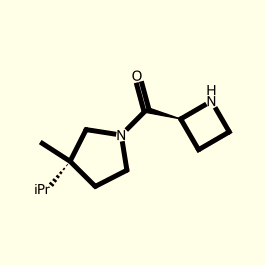 CC(C)[C@@]1(C)CCN(C(=O)[C@@H]2CCN2)C1